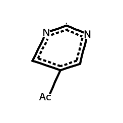 CC(=O)c1cn[c]nc1